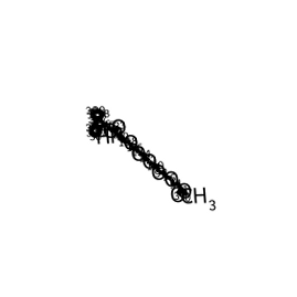 COC(=O)CCOCCOCCOCCOCCOCCNC(=O)OCC1c2ccccc2-c2ccccc21